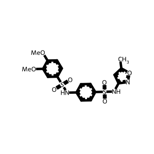 COc1ccc(S(=O)(=O)Nc2ccc(S(=O)(=O)Nc3cc(C)on3)cc2)cc1OC